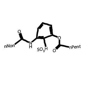 CCCCCCCCCC(=O)Nc1cccc(OC(=O)CCCCC)c1S(=O)(=O)O